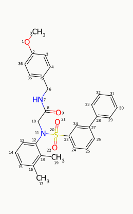 COc1ccc(CNC(=O)CN(c2cccc(C)c2C)S(=O)(=O)c2cccc(-c3ccccc3)c2)cc1